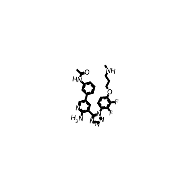 CNCCCOc1ccc(-n2nnnc2-c2cc(-c3cccc(NC(C)=O)c3)cnc2N)c(F)c1F